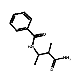 CC(NC(=O)c1ccccc1)C(C)C(N)=O